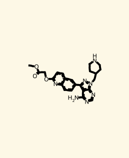 COC(=O)COc1ccc2cc(-c3nn(CC4CCNCC4)c4ncnc(N)c34)ccc2n1